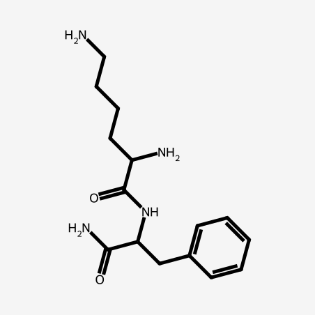 NCCCCC(N)C(=O)NC(Cc1ccccc1)C(N)=O